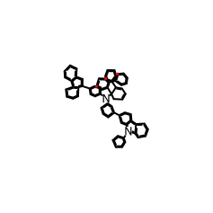 C1=CCC(c2ccccc2-c2ccccc2)(N(c2ccc(-c3cc4ccccc4c4ccccc34)cc2)c2cccc(-c3ccc4c5ccccc5n(-c5ccccc5)c4c3)c2)C(c2ccccc2)=C1